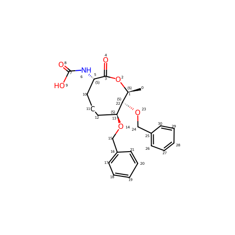 C[C@@H]1OC(=O)[C@@H](NC(=O)O)CCC[C@H](OCc2ccccc2)[C@H]1OCc1ccccc1